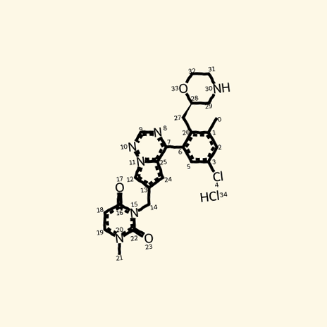 Cc1cc(Cl)cc(-c2ncnn3cc(Cn4c(=O)ccn(C)c4=O)cc23)c1C[C@@H]1CNCCO1.Cl